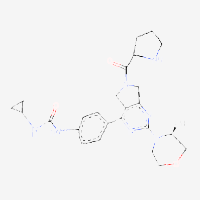 C[C@H]1COCCN1c1nc2c(c(-c3ccc(NC(=O)NC4CC4)cc3)n1)CN(C(=O)C1CCCN1)C2